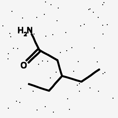 CCC(CC)CC(N)=O